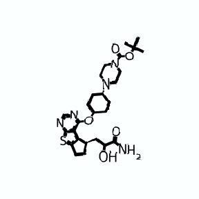 CC(C)(C)OC(=O)N1CCN([C@H]2CC[C@H](Oc3ncnc4sc5c(c34)[C@@H](CC(O)C(N)=O)CC5)CC2)CC1